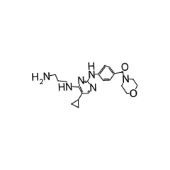 NCCCNc1nc(Nc2ccc(C(=O)N3CCOCC3)cc2)ncc1C1CC1